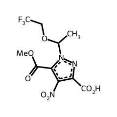 COC(=O)c1c([N+](=O)[O-])c(C(=O)O)nn1C(C)OCC(F)(F)F